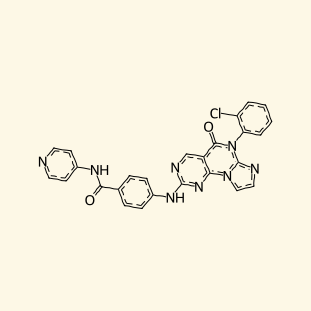 O=C(Nc1ccncc1)c1ccc(Nc2ncc3c(=O)n(-c4ccccc4Cl)c4nccn4c3n2)cc1